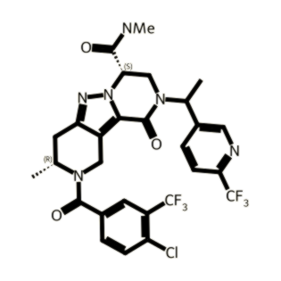 CNC(=O)[C@@H]1CN(C(C)c2ccc(C(F)(F)F)nc2)C(=O)c2c3c(nn21)C[C@@H](C)N(C(=O)c1ccc(Cl)c(C(F)(F)F)c1)C3